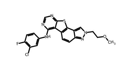 COCCn1cc2c(ccc3c2sc2ncnc(Nc4ccc(F)c(Cl)c4)c23)n1